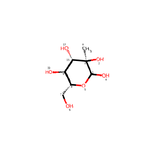 C[C@]1(O)C(O)O[C@H](CO)[C@@H](O)[C@@H]1O